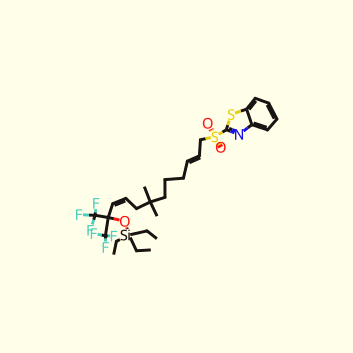 CC[Si](CC)(CC)OC(/C=C\CC(C)(C)CCC/C=C/CS(=O)(=O)c1nc2ccccc2s1)(C(F)(F)F)C(F)(F)F